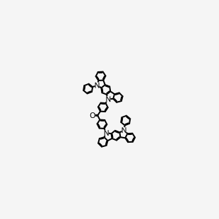 O=C(c1ccc(-n2c3ccccc3c3cc4c5ccccc5n(-c5ccccc5)c4cc32)cc1)c1ccc(-n2c3ccccc3c3cc4c5ccccc5n(-c5ccccc5)c4cc32)cc1